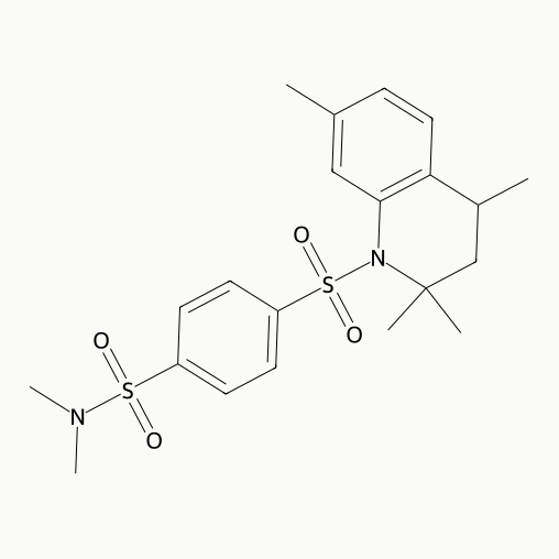 Cc1ccc2c(c1)N(S(=O)(=O)c1ccc(S(=O)(=O)N(C)C)cc1)C(C)(C)CC2C